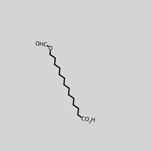 O=COCCCCCCCCCCCCCC(=O)O